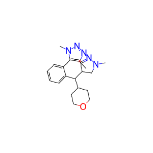 Cc1nnn(C)c1-c1ccccc1C(C1C=NN(C)C1)C1CCOCC1